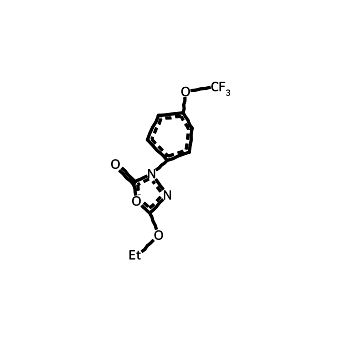 CCOc1nn(-c2ccc(OC(F)(F)F)cc2)c(=O)o1